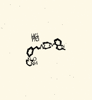 Cc1ccc2c(N3CCN(CCc4cccc(N5CCCNC5=O)c4)CC3)cccc2n1.Cl.Cl